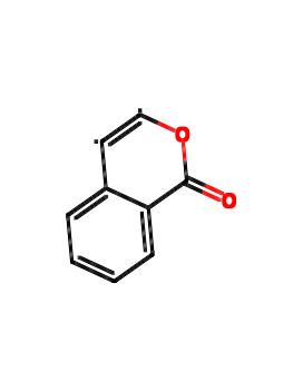 O=c1o[c][c]c2ccccc12